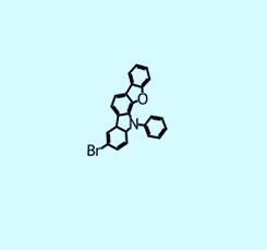 BrC1=CC2c3ccc4c(oc5ccccc54)c3N(c3ccccc3)C2C=C1